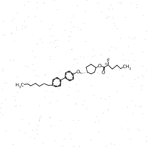 CCCCCCCc1ccc(-c2ccc(OC[C@H]3CC[C@H](OC(=O)[C@@H](F)CCCC)CC3)cc2)cc1